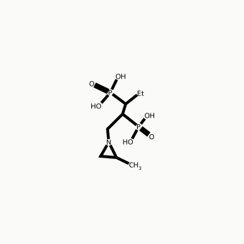 CCC(C(CN1CC1C)P(=O)(O)O)P(=O)(O)O